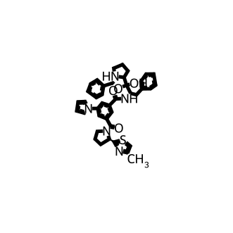 Cc1csc([C@H]2CCCN2C(=O)c2cc(C(=O)NC(Cc3ccccc3)C(O)(OCc3ccccc3)C3CCCN3)cc(-n3cccc3)c2)n1